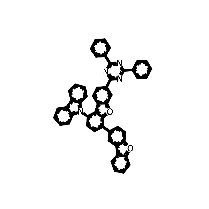 c1ccc(-c2nc(-c3ccccc3)nc(-c3ccc4c(c3)oc3c(-c5ccc6oc7ccccc7c6c5)ccc(-n5c6ccccc6c6ccccc65)c34)n2)cc1